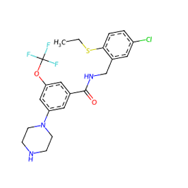 CCSc1ccc(Cl)cc1CNC(=O)c1cc(OC(F)(F)F)cc(N2CCNCC2)c1